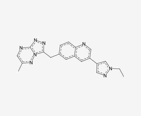 CCn1cc(-c2cnc3ccc(Cc4nnc5ncc(C)nn45)cc3c2)cn1